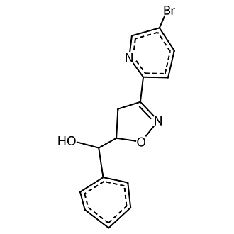 OC(c1ccccc1)C1CC(c2ccc(Br)cn2)=NO1